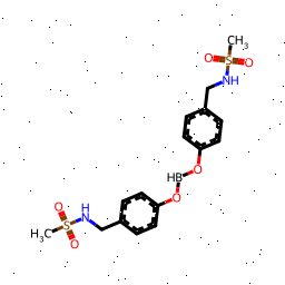 CS(=O)(=O)NCc1ccc(OBOc2ccc(CNS(C)(=O)=O)cc2)cc1